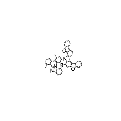 Cc1cccc2c1c1nc3cccc4c3n1c1c3c(cc(C)c21)-n1c2c(cc5oc6ccccc6c5c2c2ccc5c6ccccc6oc5c21)B43